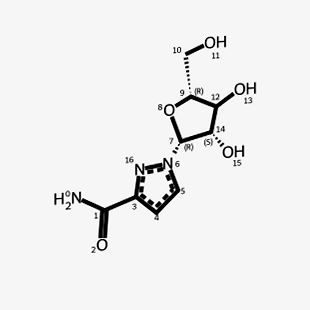 NC(=O)c1ccn([C@@H]2O[C@H](CO)C(O)[C@@H]2O)n1